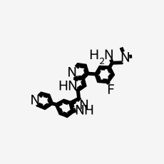 CN(C)CC(N)c1cc(F)cc(-c2ccnc3[nH]c(-c4n[nH]c5ccc(-c6ccncc6)cc45)cc23)c1